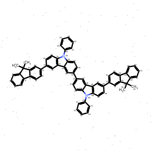 CC1(C)c2ccccc2-c2ccc(-c3ccc4c(c3)c3cc(-c5ccc6c(c5)c5cc(-c7ccc8c(c7)C(C)(C)c7ccccc7-8)ccc5n6-c5ccccc5)ccc3n4-c3ccccc3)cc21